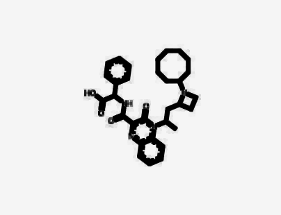 CC(CC1CCN1C1CCCCCCC1)n1c(=O)c(C(=O)NC(C(=O)O)c2ccccc2)nc2ccccc21